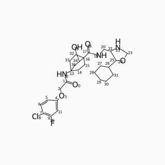 O=C(COc1ccc(Cl)c(F)c1)NC12CCC(C(=O)NCC3NCOC3C3CCCCC3)(CC1)C(O)C2